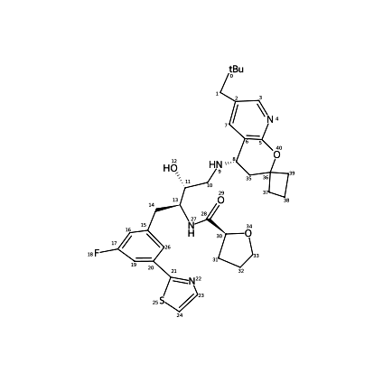 CC(C)(C)Cc1cnc2c(c1)[C@@H](NC[C@@H](O)[C@H](Cc1cc(F)cc(-c3nccs3)c1)NC(=O)[C@@H]1CCCO1)CC1(CCC1)O2